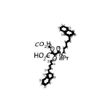 CCCN(CCCCCc1ccc2ccccc2c1)C(=O)C(OCCCCCc1ccc2ccccc2c1)C(OCC(=O)O)C(=O)O